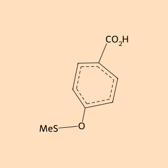 CSOc1ccc(C(=O)O)cc1